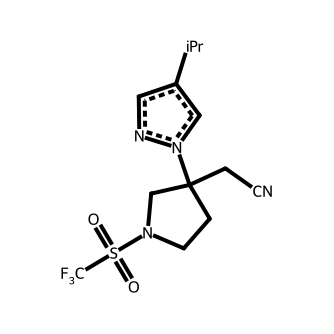 CC(C)c1cnn(C2(CC#N)CCN(S(=O)(=O)C(F)(F)F)C2)c1